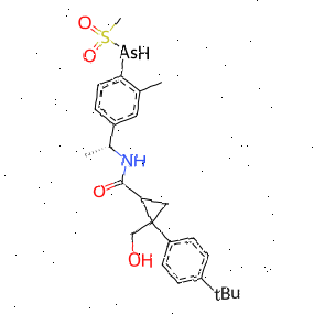 Cc1cc([C@@H](C)NC(=O)C2CC2(CO)c2ccc(C(C)(C)C)cc2)ccc1[AsH]S(C)(=O)=O